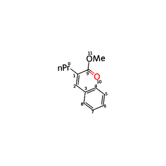 CCCC(=Cc1ccccc1)C(=O)OC